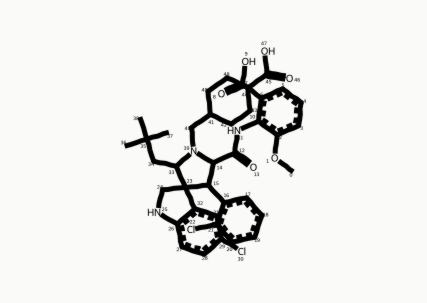 COc1cccc(C(=O)O)c1NC(=O)C1C(c2ccccc2Cl)C2(CNc3ccc(Cl)cc32)C(CC(C)(C)C)N1CC1CCC(C(=O)O)CC1